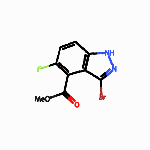 COC(=O)c1c(F)ccc2[nH]nc(Br)c12